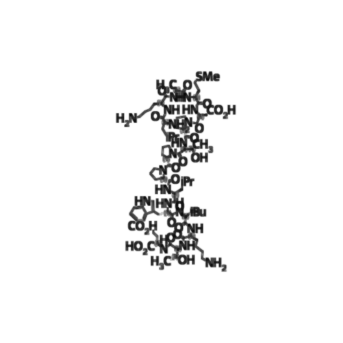 CC[C@H](C)[C@H](NC(=O)[C@H](Cc1c[nH]c2ccccc12)NC(=O)[C@H](CC(C)C)NC(=O)[C@@H]1CCCN1C(=O)[C@@H]1CCCN1C(=O)[C@@H](NC(=O)[C@@H]1CCCN1C(=O)[C@H](CC(=O)O)NC(=O)[C@H](CCSC)NC(=O)[C@H](C)NC(=O)[C@H](CCCCN)NC(=O)[C@@H](N)CC(C)C)[C@@H](C)O)C(=O)N[C@@H](CCCCN)C(=O)N[C@H](C(=O)N[C@@H](CCC(=O)O)C(=O)O)[C@@H](C)O